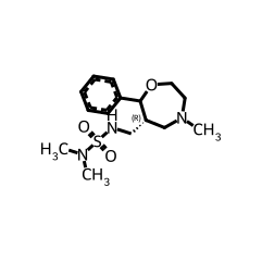 CN1CCOC(c2ccccc2)[C@@H](CNS(=O)(=O)N(C)C)C1